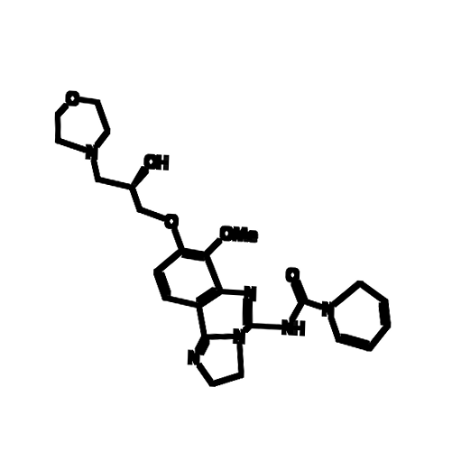 COc1c(OC[C@H](O)CN2CCOCC2)ccc2c1N=C(NC(=O)N1C=CC=CC1)N1CCN=C21